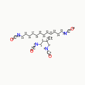 CCC(CCN=C=O)CN=C=O.O=C=NCCCCCCCCCCCCN=C=O